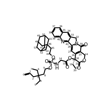 C=CCC(CC)(CC)CCOP(=O)(NCC(=O)O[C@]1(CC)C(=O)OCc2c1cc1n(c2=O)Cc2cc3ccccc3nc2-1)OCCC12CC3CC(CC(C3)C1)C2